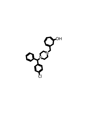 OC1=CC=CC=C(CN2CCN(C(c3ccccc3)c3ccc(Cl)cc3)CC2)C1